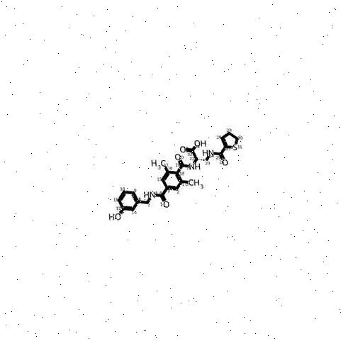 Cc1cc(C(=O)NCc2cccc(O)c2)cc(C)c1C(=O)N[C@@H](CNC(=O)C1=CCCS1)C(=O)O